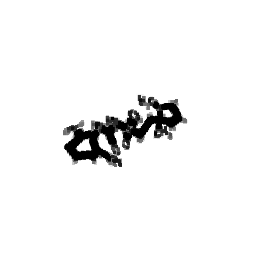 CC(C)c1cccc(C(C)C)c1NC(=O)NS(=O)(=O)/C=C/C1(C)CCCN1C